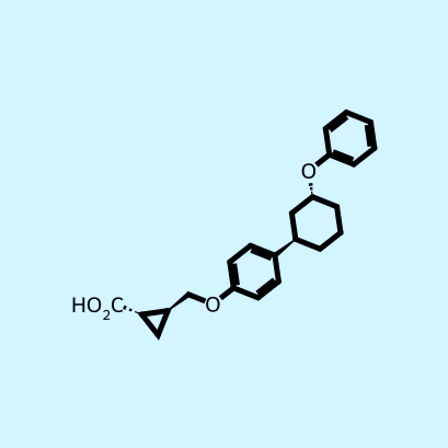 O=C(O)[C@H]1C[C@@H]1COc1ccc([C@@H]2CCC[C@@H](Oc3ccccc3)C2)cc1